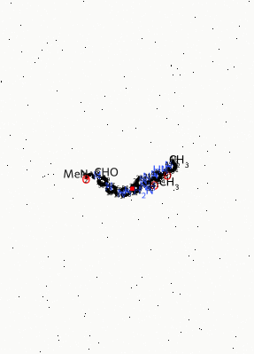 CNC(=O)CCN(C=O)c1ccc(N2CCC(CN3CCN(c4ccc5c(c4)CCn4nc(-c6cc(C)c(C(=O)Nc7cccc(C)n7)cn6)c(C(N)=O)c4N5)CC3)CC2)cc1